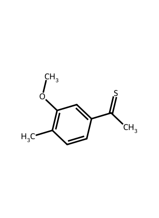 COc1cc(C(C)=S)ccc1C